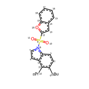 CCCCc1ccc2c(ccn2S(=O)(=O)c2cc3ccccc3o2)c1CCC